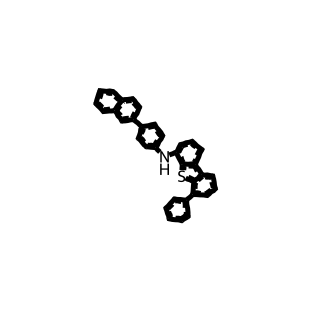 c1ccc(-c2cccc3c2sc2c(Nc4ccc(-c5ccc6ccccc6c5)cc4)cccc23)cc1